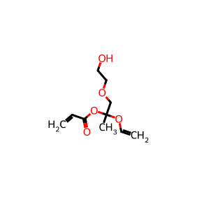 C=COC(C)(COCCO)OC(=O)C=C